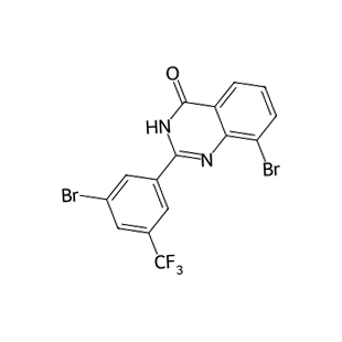 O=c1[nH]c(-c2cc(Br)cc(C(F)(F)F)c2)nc2c(Br)cccc12